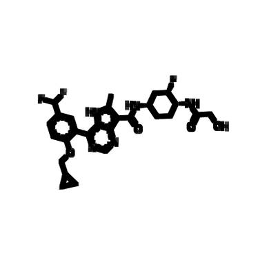 Cc1[nH]c2c(-c3cc(C(F)F)ccc3OCC3CC3)ncnc2c1C(=O)N[C@@H]1CC[C@@H](NC(=O)CO)[C@H](F)C1